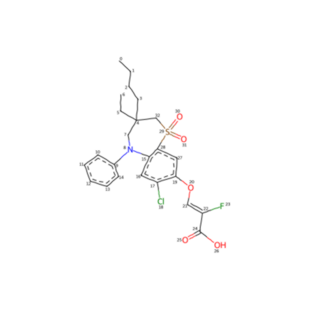 CCCCC1(CC)CN(c2ccccc2)c2cc(Cl)c(O/C=C(\F)C(=O)O)cc2S(=O)(=O)C1